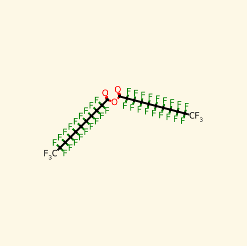 O=C(OC(=O)C(F)(F)C(F)(F)C(F)(F)C(F)(F)C(F)(F)C(F)(F)C(F)(F)C(F)(F)C(F)(F)C(F)(F)F)C(F)(F)C(F)(F)C(F)(F)C(F)(F)C(F)(F)C(F)(F)C(F)(F)C(F)(F)C(F)(F)C(F)(F)F